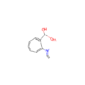 C=Nc1ccccc1C(O)O